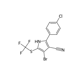 N#Cc1c(-c2ccc(Cl)cc2)[nH]c(SC(F)(F)F)c1Br